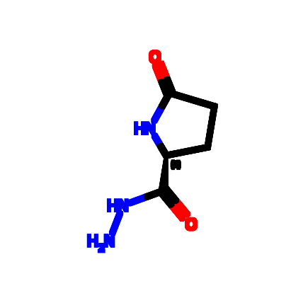 NNC(=O)[C@@H]1CCC(=O)N1